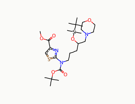 COC(=O)c1csc(N(CCCC(CN2CCOCC2)O[Si](C)(C)C(C)(C)C)C(=O)OC(C)(C)C)n1